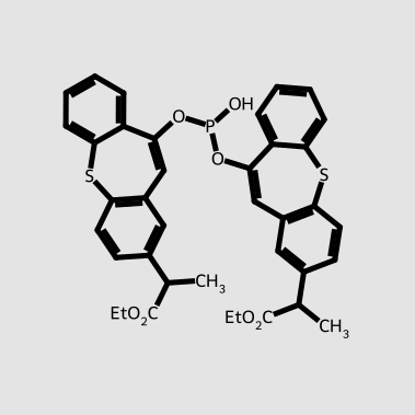 CCOC(=O)C(C)c1ccc2c(c1)C=C(OP(O)OC1=Cc3cc(C(C)C(=O)OCC)ccc3Sc3ccccc31)c1ccccc1S2